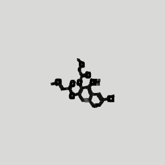 COCC(=O)Oc1cc2ccc(Cl)cc2c(O)c1OC(=O)COC